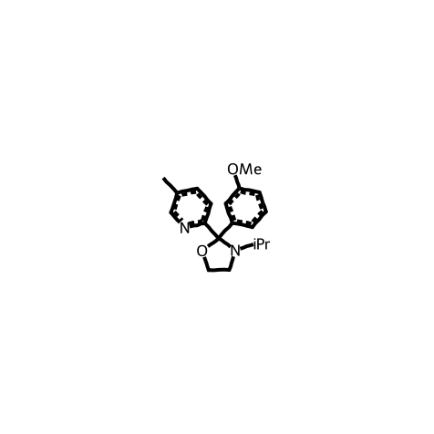 COc1cccc(C2(c3ccc(C)cn3)OCCN2C(C)C)c1